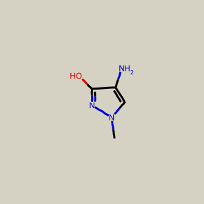 Cn1cc(N)c(O)n1